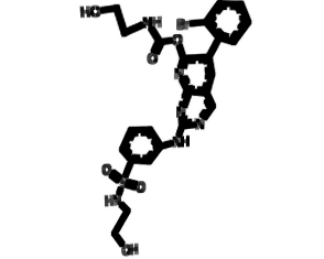 O=C(NCCO)Oc1nc2nc(Nc3cccc(S(=O)(=O)NCCO)c3)ncc2cc1-c1ccccc1Br